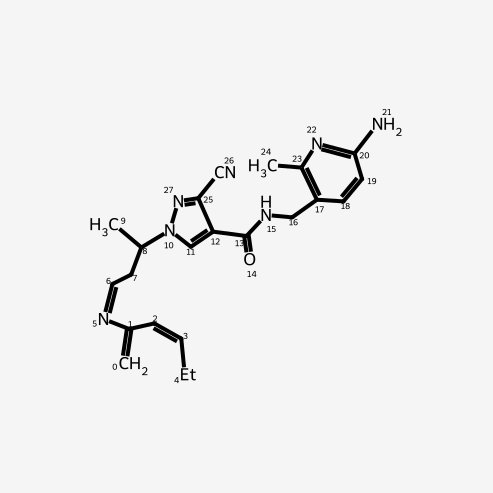 C=C(/C=C\CC)/N=C\CC(C)n1cc(C(=O)NCc2ccc(N)nc2C)c(C#N)n1